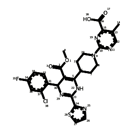 COC(=O)C1=C(C2CCN(c3ncc(C)c(C(=O)O)n3)CC2)NC(c2nccs2)=NC1c1ccc(F)cc1Cl